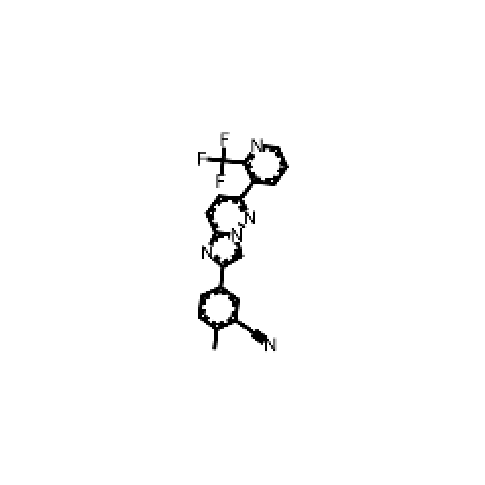 Cc1ccc(-c2cn3nc(-c4cccnc4C(F)(F)F)ccc3n2)cc1C#N